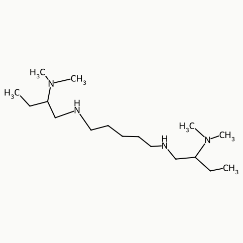 CCC(CNCCCCCNCC(CC)N(C)C)N(C)C